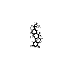 CC1(C)c2cc(C(O)(C(F)(F)F)C(F)(F)F)ccc2NC2c3cc(F)cc(F)c3OCC21